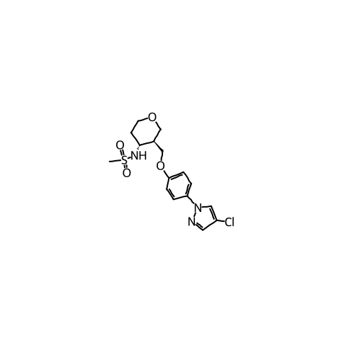 CS(=O)(=O)N[C@@H]1CCOC[C@H]1COc1ccc(-n2cc(Cl)cn2)cc1